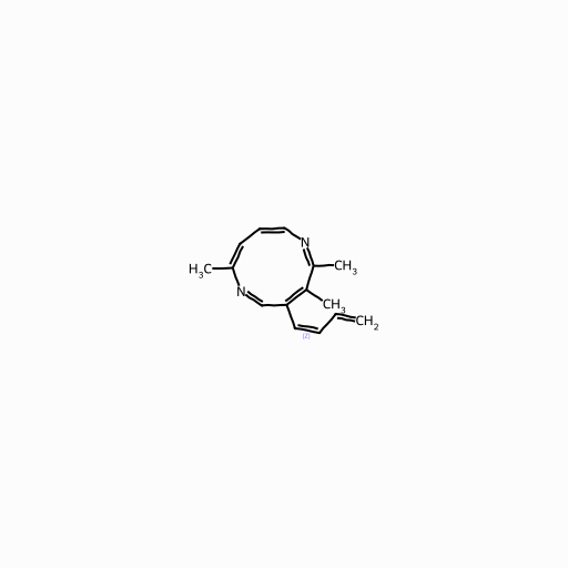 C=C/C=C\c1cnc(C)cccnc(C)c1C